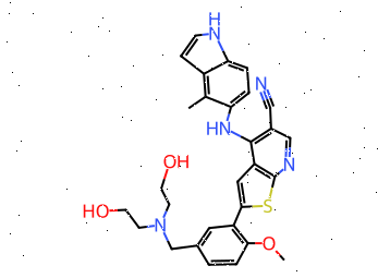 COc1ccc(CN(CCO)CCO)cc1-c1cc2c(Nc3ccc4[nH]ccc4c3C)c(C#N)cnc2s1